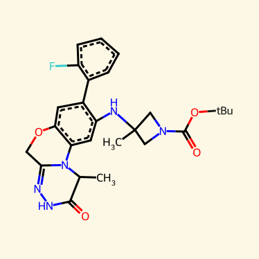 CC1C(=O)NN=C2COc3cc(-c4ccccc4F)c(NC4(C)CN(C(=O)OC(C)(C)C)C4)cc3N21